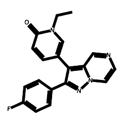 CCn1cc(-c2c(-c3ccc(F)cc3)nn3ccncc23)ccc1=O